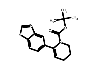 CC(C)(C)OC(=O)N1CCCC=C1c1ccc2scnc2c1